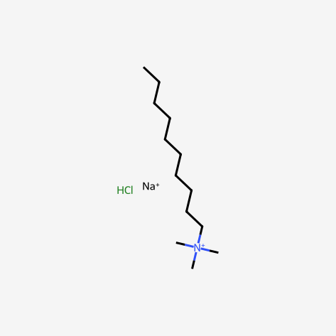 CCCCCCCCCC[N+](C)(C)C.Cl.[Na+]